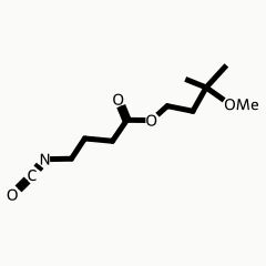 COC(C)(C)CCOC(=O)CCCN=C=O